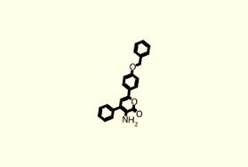 Nc1c(-c2ccccc2)cc(-c2ccc(OCc3ccccc3)cc2)oc1=O